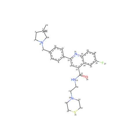 C[SiH]1CCN(Cc2ccc(-c3cc(C(=O)NCCN4CCSCC4)c4cc(F)ccc4n3)cc2)C1